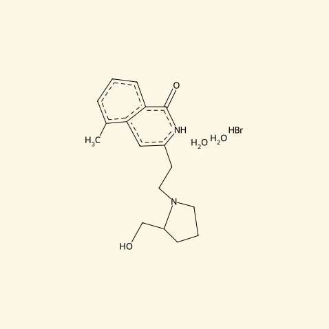 Br.Cc1cccc2c(=O)[nH]c(CCN3CCCC3CO)cc12.O.O